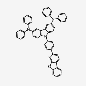 c1ccc(N(c2ccccc2)c2ccc3c(c2)c2cc(N(c4ccccc4)c4ccccc4)ccc2n3-c2ccc(-c3ccc4c(n3)oc3ccccc34)cc2)cc1